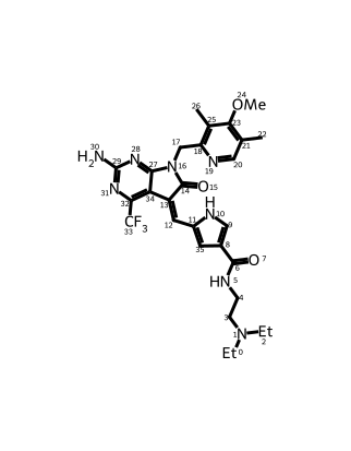 CCN(CC)CCNC(=O)c1c[nH]c(C=C2C(=O)N(Cc3ncc(C)c(OC)c3C)c3nc(N)nc(C(F)(F)F)c32)c1